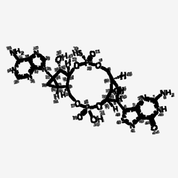 Nc1nc2c([C@@H]3O[C@@H]4CO[P@](=O)(S)O[C@@H]5[C@@H](COP(=O)(O)O[C@@H]3[C@@H]4O)[C@@H]3C[C@]3(n3cnc4c(N)ncnc43)[C@@H]5O)snc2c(=O)[nH]1